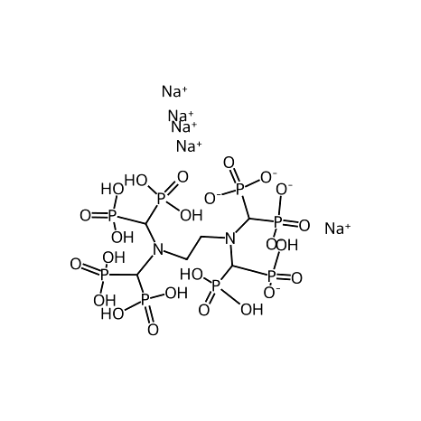 O=P([O-])([O-])C(N(CCN(C(P(=O)(O)O)P(=O)(O)O)C(P(=O)(O)O)P(=O)(O)O)C(P(=O)([O-])O)P(=O)(O)O)P(=O)([O-])[O-].[Na+].[Na+].[Na+].[Na+].[Na+]